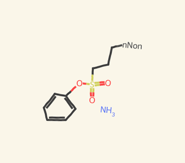 CCCCCCCCCCCCS(=O)(=O)Oc1ccccc1.N